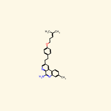 CC(C)=CCCOc1ccc(CCc2cnc3c(N)nc4cc(C)ccc4c3c2)cc1